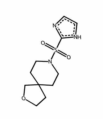 O=S(=O)(c1ncc[nH]1)N1CCC2(CCOC2)CC1